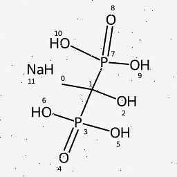 CC(O)(P(=O)(O)O)P(=O)(O)O.[NaH]